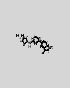 Cc1c[n+](C)n2ccc(-c3ccnc(N[C@H]4CC[C@H](N)C4)n3)nc12